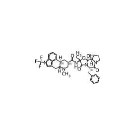 CN1C[C@H](C(=O)N[C@]2(C)O[C@@]3(O)[C@@H]4CCCN4C(=O)[C@H](Cc4ccccc4)N3C2=O)C[C@@H]2c3cccc4c3c(cn4C(F)(F)F)C[C@H]21